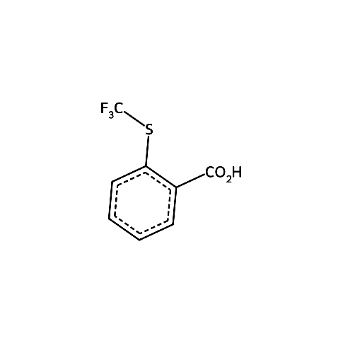 O=C(O)c1ccccc1SC(F)(F)F